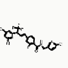 O=C(NCc1ccc(Cl)nc1)c1ccc(/C=C/C(c2cc(Cl)cc(Cl)c2)C(F)(F)F)cc1F